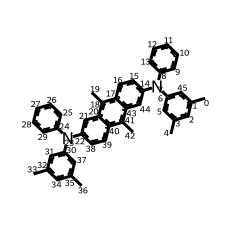 Cc1cc(C)cc(N(c2ccccc2)c2ccc3c(C)c4cc(N(c5ccccc5)c5cc(C)cc(C)c5)ccc4c(C)c3c2)c1